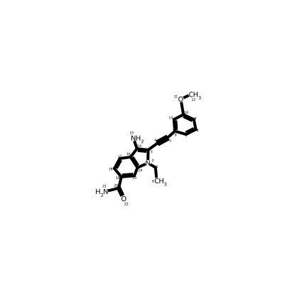 CCn1c(C#Cc2cccc(OC)c2)c(N)c2ccc(C(N)=O)cc21